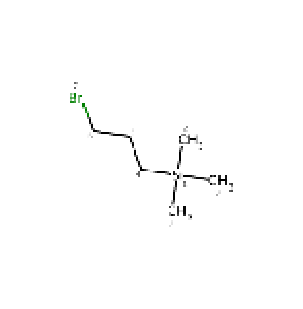 C[Si](C)(C)CCCBr